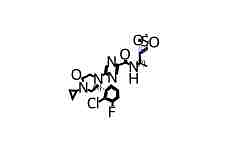 C[C@H](/C=C/S(C)(=O)=O)NC(=O)c1cnc(N2CC(=O)N(C3CC3)C[C@H]2c2cccc(F)c2Cl)cn1